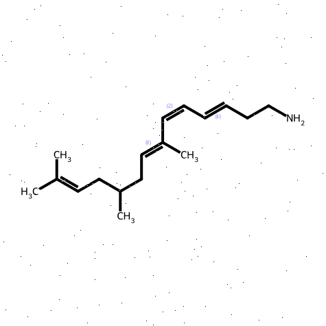 CC(C)=CCC(C)C/C=C(C)/C=C\C=C\CCN